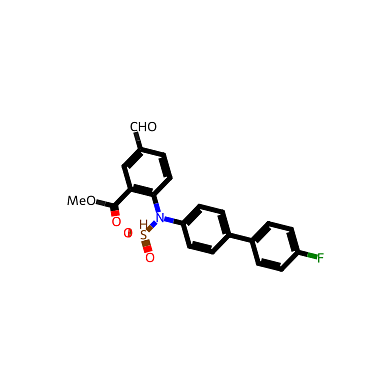 COC(=O)c1cc(C=O)ccc1N(c1ccc(-c2ccc(F)cc2)cc1)[SH](=O)=O